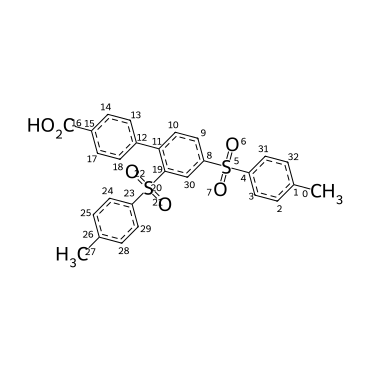 Cc1ccc(S(=O)(=O)c2ccc(-c3ccc(C(=O)O)cc3)c(S(=O)(=O)c3ccc(C)cc3)c2)cc1